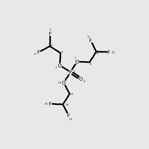 O=P(OCC(F)F)(OCC(F)F)OCC(F)F